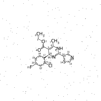 CCOC(=O)C1=C(C)NC(c2cncs2)=N[C@H]1c1ccc(F)cc1Cl